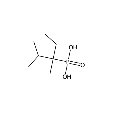 CCC(C)(C(C)C)P(=O)(O)O